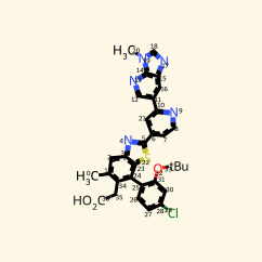 Cc1cc2nc(-c3ccnc(-c4cnc5c(c4)ncn5C)c3)sc2c(-c2ccc(Cl)cc2OC(C)(C)C)c1CC(=O)O